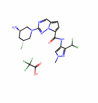 Cn1cc(NC(=O)c2ccc3cnc(N4C[C@H](N)C[C@@H](F)C4)nn23)c(C(F)F)n1.O=C(O)C(F)(F)F